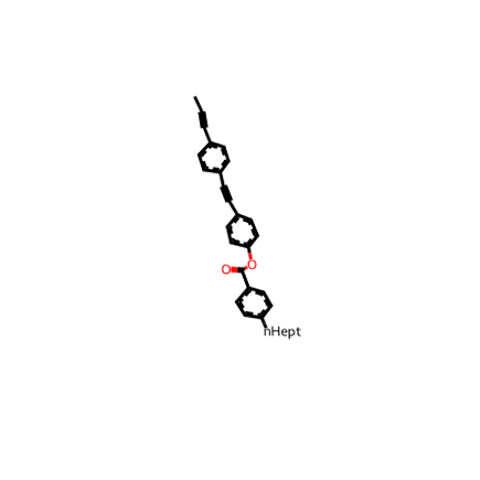 CC#Cc1ccc(C#Cc2ccc(OC(=O)c3ccc(CCCCCCC)cc3)cc2)cc1